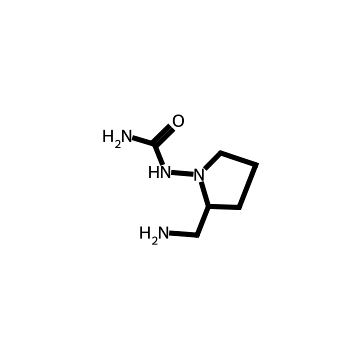 NCC1CCCN1NC(N)=O